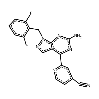 N#Cc1ccnc(-c2nc(N)nc3c2cnn3Cc2c(F)cccc2F)c1